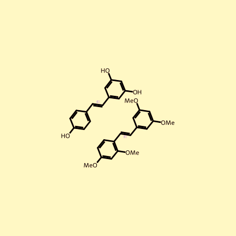 COc1cc(/C=C/c2ccc(OC)cc2OC)cc(OC)c1.Oc1ccc(/C=C/c2cc(O)cc(O)c2)cc1